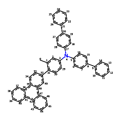 Cc1cc(N(c2ccc(-c3ccccc3)cc2)c2ccc(-c3ccccc3)cc2)ccc1-c1ccc2c3ccccc3c3ccccc3c2c1